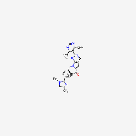 CNC(=O)c1cc2cnc(-c3c(OC)ncnc3C3CC3)nc2n1Cc1ccc(-c2nc(C(F)(F)F)cn2C(C)C)cc1